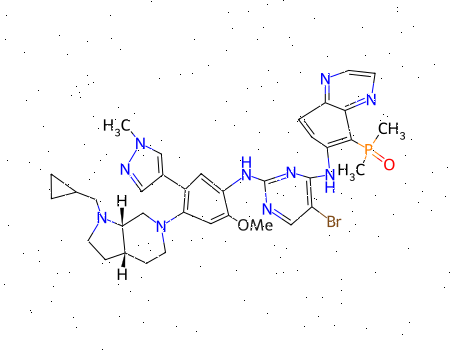 COc1cc(N2CC[C@@H]3CCN(CC4CC4)[C@@H]3C2)c(-c2cnn(C)c2)cc1Nc1ncc(Br)c(Nc2ccc3nccnc3c2P(C)(C)=O)n1